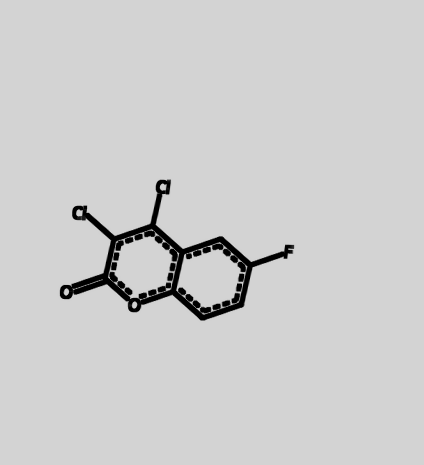 O=c1oc2ccc(F)cc2c(Cl)c1Cl